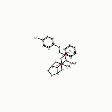 CC(COc1ccc(C#N)cc1)N(C(=O)O)N1CC2CCC(C1)C2N(C)Cc1ccccc1